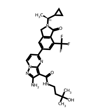 C[C@@H](C1CC1)N1Cc2cc(-c3ccn4nc(N)c(C(=O)NCCC(C)(C)O)c4n3)cc(C(F)(F)F)c2C1=O